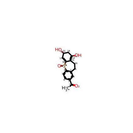 CC(=O)c1ccc2c(c1)CCC1=C(O)CC(O)C=C1[S+]2[O-]